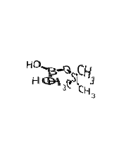 C[Si](C)(C)OB(O)O